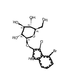 OC[C@H]1O[C@@H](Oc2[nH]c3cccc(Br)c3c2Cl)[C@H](O)[C@@H](O)[C@@H]1O